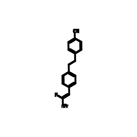 CCCC(F)=Cc1ccc(CCc2ccc(C#N)cc2)cc1